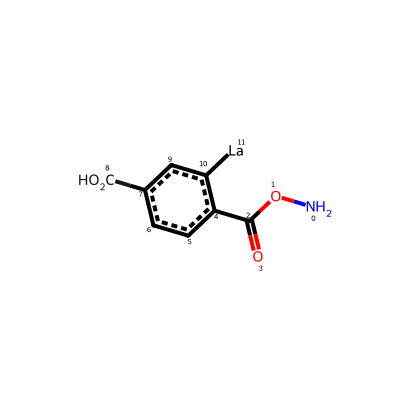 NOC(=O)c1ccc(C(=O)O)c[c]1[La]